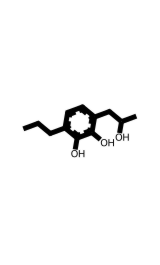 CCCc1ccc(CC(C)O)c(O)c1O